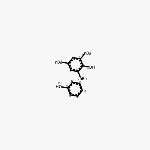 CCCCc1cc(CCCC)c(O)c(CCCC)c1.Oc1ccccc1